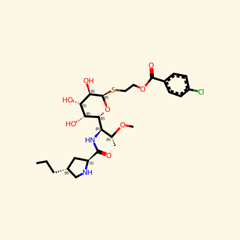 CCC[C@H]1CN[C@H](C(=O)N[C@@H]([C@H]2O[C@H](SCCOC(=O)c3ccc(Cl)cc3)[C@H](O)[C@@H](O)[C@H]2O)[C@@H](C)OC)C1